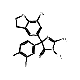 CN1C(=O)C(c2ccc(F)c(Br)c2)(c2cc(C#N)c3c(c2)CCO3)N=C1N